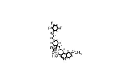 COc1ccc2ncc(CO)c(CCCC3(CC(=O)O)CCN(CCOc4cc(F)cc(F)c4F)CC3)c2c1